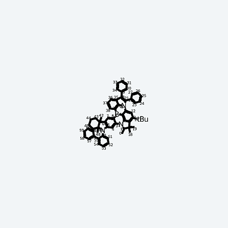 CC1N2c3cc4c(cc3B3c5c(cc(C(C)(C)C)c(c52)C1(C)C)-n1c(-c2ccccc2)c(-c2ccccc2)c2cccc3c21)C1(C)CCCCC1(C)N4c1ccccc1-c1ccccc1